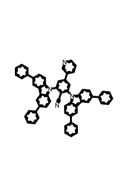 N#Cc1c(-n2c3ccc(-c4ccccc4)cc3c3cc(-c4ccccc4)ccc32)cc(-c2cccnc2)cc1-n1c2ccc(-c3ccccc3)cc2c2cc(-c3ccccc3)ccc21